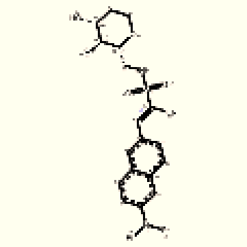 CCN(CC)c1ccc2cc(/C=C(\C#N)S(=O)(=O)NC[C@H]3OCC[C@@H](O)[C@@H]3O)ccc2c1